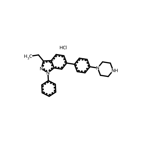 CCc1nn(-c2ccccc2)c2cc(-c3ccc(N4CCNCC4)cc3)ccc12.Cl